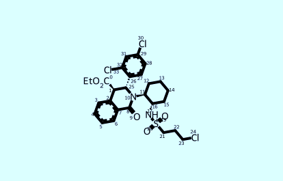 CCOC(=O)[C@@H]1c2ccccc2C(=O)N([C@H]2CCCC[C@@H]2NS(=O)(=O)CCCCl)[C@H]1c1ccc(Cl)cc1Cl